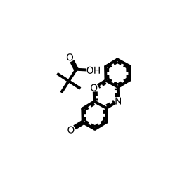 CC(C)(C)C(=O)O.O=c1ccc2nc3ccccc3oc-2c1